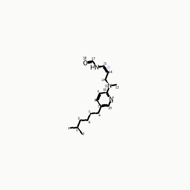 CC(C)CCCCc1ccc(N(C)C/C=C\NC=O)nc1